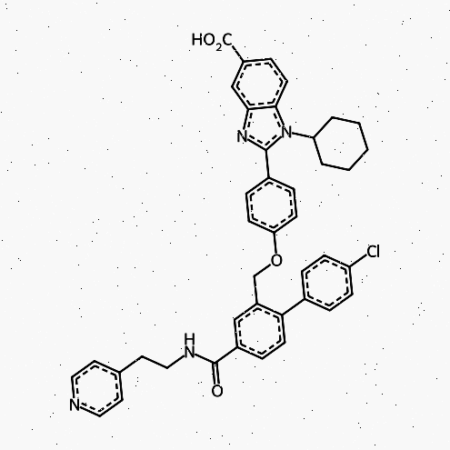 O=C(O)c1ccc2c(c1)nc(-c1ccc(OCc3cc(C(=O)NCCc4ccncc4)ccc3-c3ccc(Cl)cc3)cc1)n2C1CCCCC1